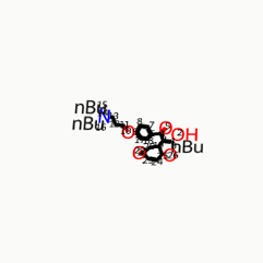 CCCCC(O)=C(C(=O)c1ccc(OCCCN(CCCC)CCCC)cc1)C1CC(=O)C=CC1=O